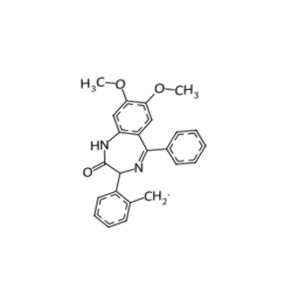 [CH2]c1ccccc1C1N=C(c2ccccc2)c2cc(OC)c(OC)cc2NC1=O